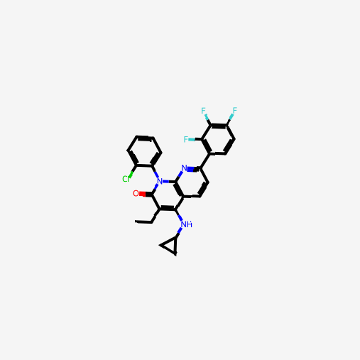 CCc1c(NC2CC2)c2ccc(-c3ccc(F)c(F)c3F)nc2n(-c2ccccc2Cl)c1=O